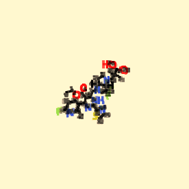 CCOC(=O)C1=C(CN2CC(F)(F)[C@H]3[C@@H]2CCN3CC(C)(C)C(=O)O)NC(c2nccs2)=NC1c1ccc(F)nc1C